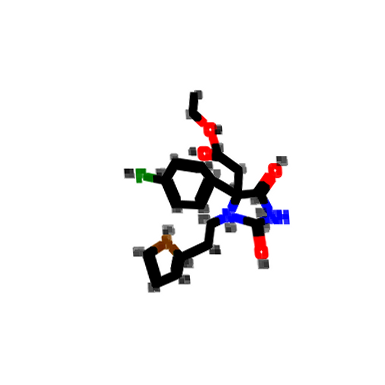 CCOC(=O)CC1(c2ccc(F)cc2)C(=O)NC(=O)N1CCc1cccs1